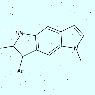 CC(=O)C1c2cc3c(ccn3C)cc2NC1C